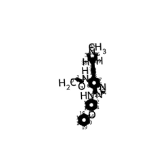 C=CC(=O)Nc1cc2c(Nc3ccc(Oc4ccccc4)cc3)ncnc2cc1C#CC1[C@H]2CN(C)C[C@@H]12